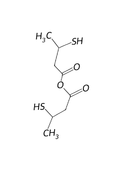 CC(S)CC(=O)OC(=O)CC(C)S